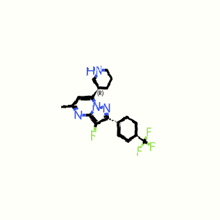 Cc1cc([C@@H]2CCCNC2)n2nc([C@H]3CC[C@H](C(F)(F)F)CC3)c(F)c2n1